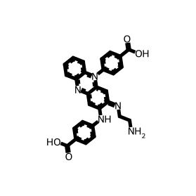 NCC/N=c1/cc2n(-c3ccc(C(=O)O)cc3)c3ccccc3nc-2cc1Nc1ccc(C(=O)O)cc1